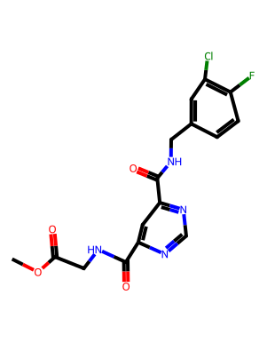 COC(=O)CNC(=O)c1cc(C(=O)NCc2ccc(F)c(Cl)c2)ncn1